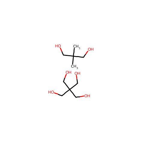 CC(C)(CO)CO.OCC(CO)(CO)CO